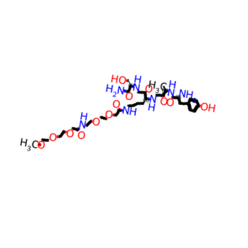 COCCOCCOCC(=O)NCCOCCOCC(=O)NCCCC[C@H](NCC(=O)[C@@H](C)NC(=O)[C@@H](N)Cc1ccc(O)cc1)C(=O)CN[C@@H](CO)C(N)=O